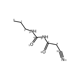 CCCNC(=O)NC(=O)CC#N